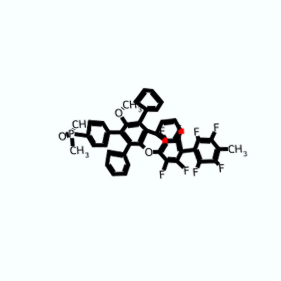 COc1c(-c2ccccc2)c(-c2ccccc2)c(Oc2c(F)c(F)c(-c3c(F)c(F)c(C)c(F)c3F)c(F)c2F)c(-c2ccccc2)c1-c1ccc(P(C)(C)=O)cc1